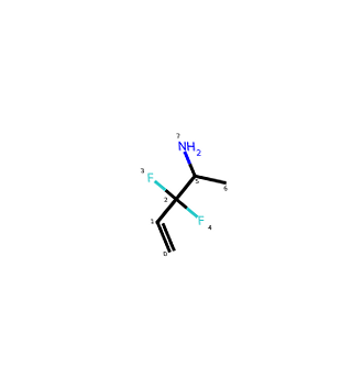 C=CC(F)(F)C(C)N